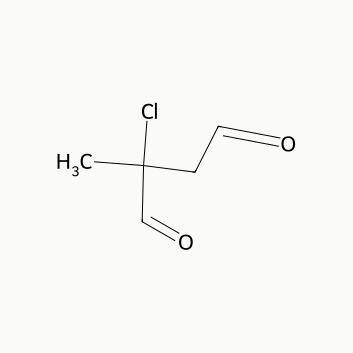 CC(Cl)(C=O)CC=O